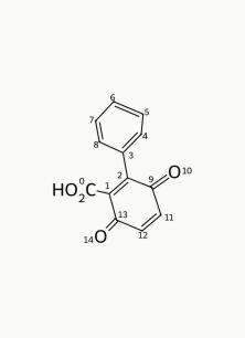 O=C(O)C1=C(c2ccccc2)C(=O)C=CC1=O